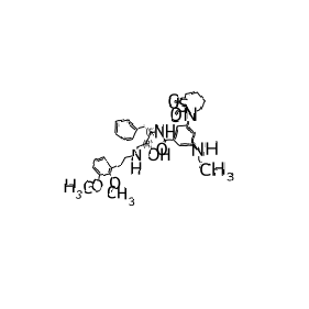 CCNc1cc(C(=O)N[C@@H](Cc2ccccc2)[C@H](O)CNCCc2cccc(OC)c2OC)cc(N2CCCCS2(=O)=O)c1